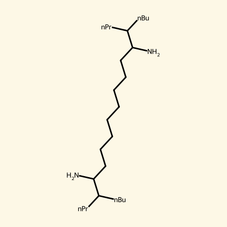 CCCCC(CCC)C(N)CCCCCCCCC(N)C(CCC)CCCC